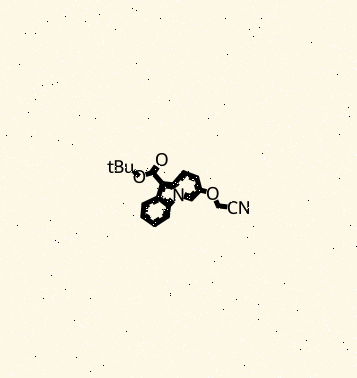 CC(C)(C)OC(=O)c1c2ccccc2n2cc(OCC#N)ccc12